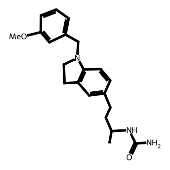 COc1cccc(CN2CCc3cc(CCC(C)NC(N)=O)ccc32)c1